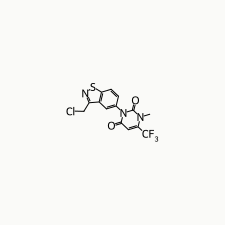 Cn1c(C(F)(F)F)cc(=O)n(-c2ccc3snc(CCl)c3c2)c1=O